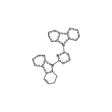 C1=Cc2c(n(-c3cccc(-n4c5ccccc5c5ccccc54)n3)c3ccccc23)CC1